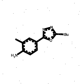 Cc1cc(-c2nnc(C(C)(C)C)o2)ccc1N